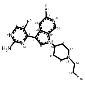 Nc1ncc(F)c(-c2cn(C3CCN(CCF)CC3)c3cnc(Br)cc23)n1